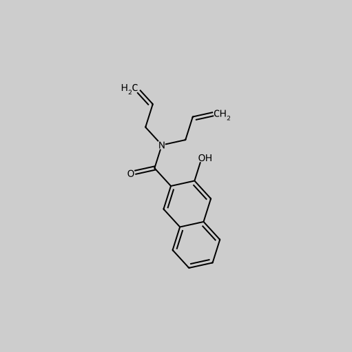 C=CCN(CC=C)C(=O)c1cc2ccccc2cc1O